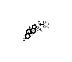 CC(C)C(=O)O[C@H]1CC[C@H]2[C@@H]3CCC4=CC(=O)CC[C@]4(C)[C@H]3CC[C@]12C